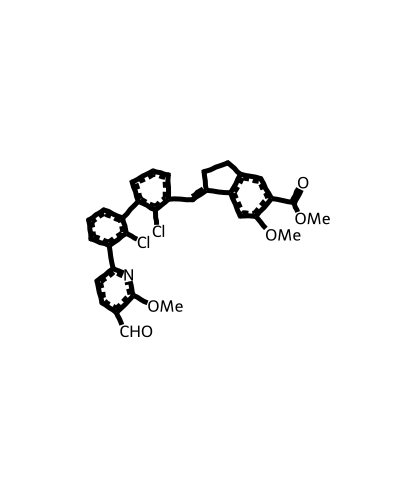 COC(=O)c1cc2c(cc1OC)C(=Cc1cccc(-c3cccc(-c4ccc(C=O)c(OC)n4)c3Cl)c1Cl)CC2